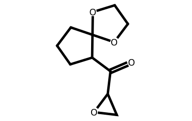 O=C(C1CO1)C1CCCC12OCCO2